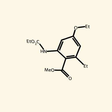 CCOC(=O)Nc1cc(OCC)cc(CC)c1C(=O)OC